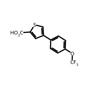 O=C(O)c1cc(-c2ccc(OC(F)(F)F)cc2)cs1